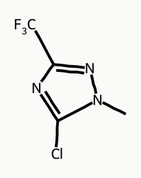 Cn1nc(C(F)(F)F)nc1Cl